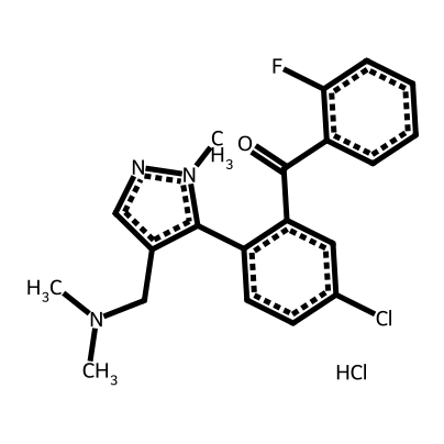 CN(C)Cc1cnn(C)c1-c1ccc(Cl)cc1C(=O)c1ccccc1F.Cl